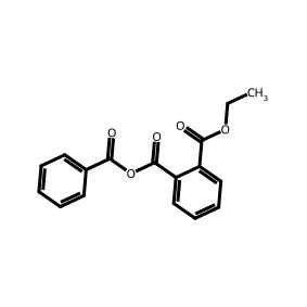 CCOC(=O)c1ccccc1C(=O)OC(=O)c1ccccc1